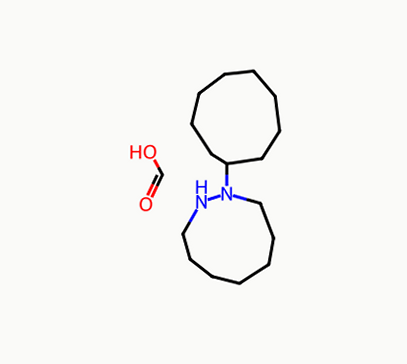 C1CCCCC(N2CCCCCCCN2)CCC1.O=CO